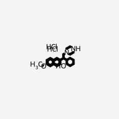 COc1ccc2cc(C(CN3CCNCC3)C3CCCCC3O)ccc2c1.Cl.Cl